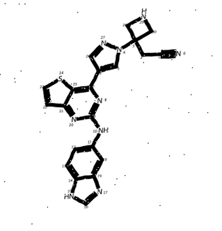 N#CCC1(n2cc(-c3nc(Nc4ccc5[nH]cnc5c4)nc4ccsc34)cn2)CNC1